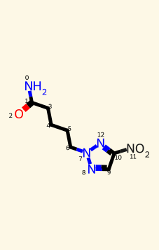 NC(=O)CCCCn1ncc([N+](=O)[O-])n1